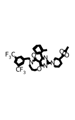 Cc1ccccc1-c1nc(N2CCCC(C3OC(C)O3)C2)nc2c1C(=O)N(Cc1cc(C(F)(F)F)cc(C(F)(F)F)c1)CCCO2